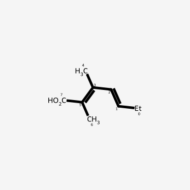 CCC=CC(C)=C(C)C(=O)O